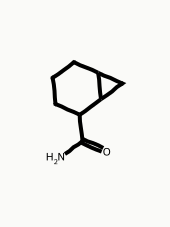 NC(=O)C1CCCC2CC21